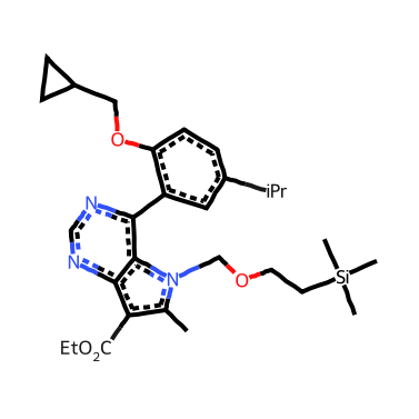 CCOC(=O)c1c(C)n(COCC[Si](C)(C)C)c2c(-c3cc(C(C)C)ccc3OCC3CC3)ncnc12